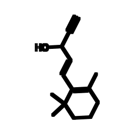 C#CC(O)C=CC1=C(C)CCCC1(C)C